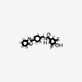 O=C(NCC1CCC(c2nc3ccccc3o2)CC1)c1cc(F)c(O)c(F)c1